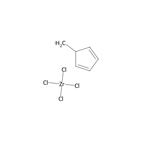 [CH2]C1C=CC=C1.[Cl][Zr]([Cl])([Cl])[Cl]